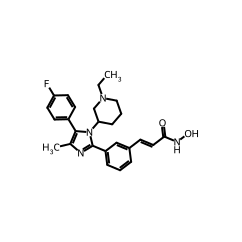 CCN1CCCC(n2c(-c3cccc(C=CC(=O)NO)c3)nc(C)c2-c2ccc(F)cc2)C1